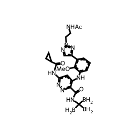 BC(B)(B)NC(=O)c1nnc(NC(=O)C2CC2)cc1Nc1cccc(-c2cnn(CCNC(C)=O)n2)c1OC